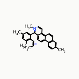 C/C=C\c1c(C)cc(C)cc1-c1c2ccc3c4ccc(C)cc4ccc3c2cc[n+]1C